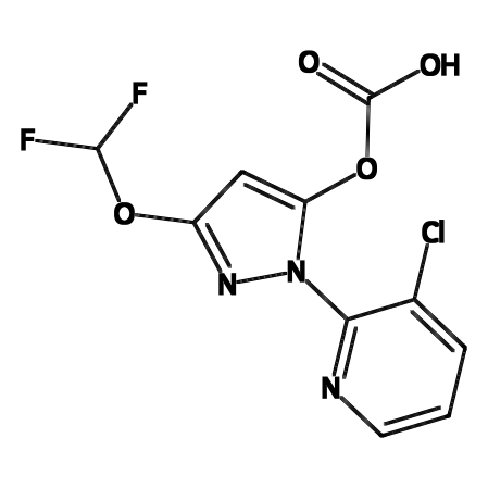 O=C(O)Oc1cc(OC(F)F)nn1-c1ncccc1Cl